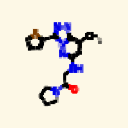 Cc1cc(NCC(=O)N2CCCC2)nn2c(-c3cccs3)nnc12